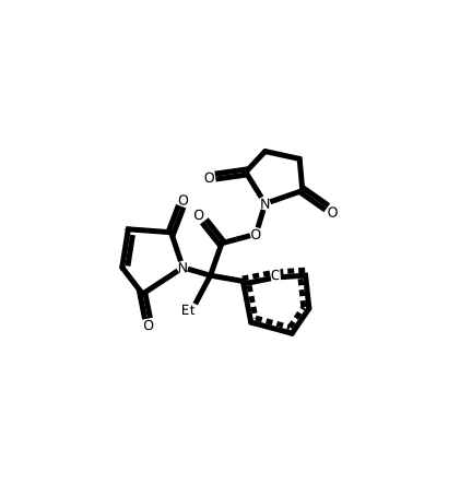 CCC(C(=O)ON1C(=O)CCC1=O)(c1ccccc1)N1C(=O)C=CC1=O